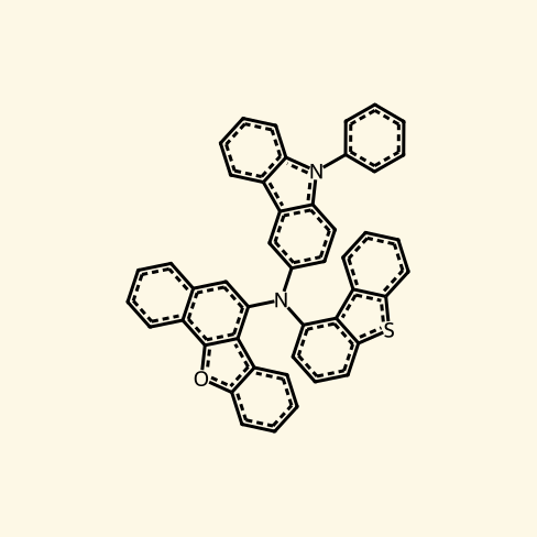 c1ccc(-n2c3ccccc3c3cc(N(c4cccc5sc6ccccc6c45)c4cc5ccccc5c5oc6ccccc6c45)ccc32)cc1